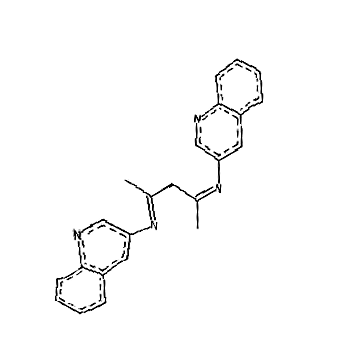 C/C(C/C(C)=N/c1cnc2ccccc2c1)=N/c1cnc2ccccc2c1